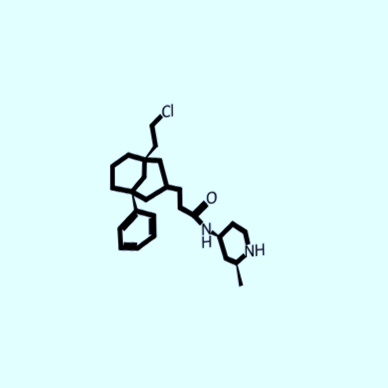 C[C@H]1C[C@@H](NC(=O)CCC2C[C@@]3(CCCl)CCC[C@@](c4ccccc4)(C2)C3)CCN1